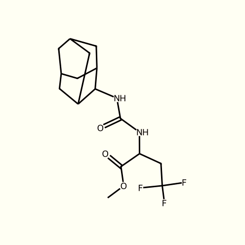 COC(=O)C(CC(F)(F)F)NC(=O)NC1C2CC3CC(C2)CC1C3